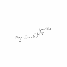 CCC(C)c1cnc(N2CCN(CCCOCCNC(C)C)CC2)nc1